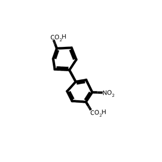 O=C(O)c1ccc(-c2ccc(C(=O)O)c([N+](=O)[O-])c2)cc1